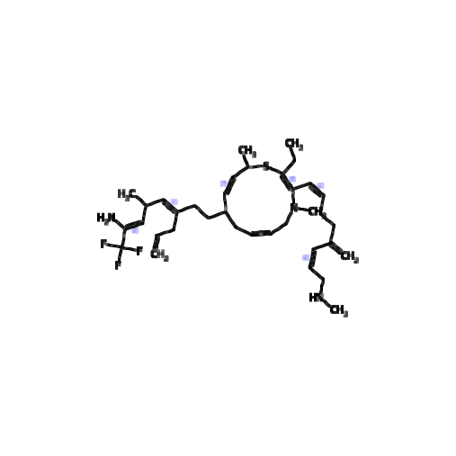 C=CC/C(=C\C(C)/C=C(\N)C(F)(F)F)CCC1/C=C\C(C)S/C(CC)=C(/C=C\CCC(=C)/C=C\CNC)N(C)CC=CC1